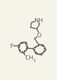 Cc1cc(F)ccc1-c1ccccc1COC1CCNC1